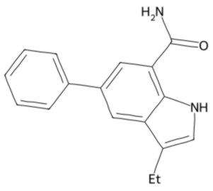 CCc1c[nH]c2c(C(N)=O)cc(-c3ccccc3)cc12